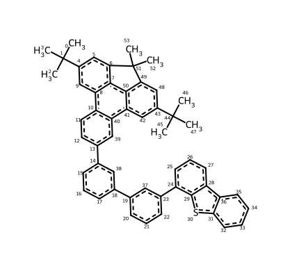 CC(C)(C)c1cc2c3c(c1)c1ccc(-c4cccc(-c5cccc(-c6cccc7c6sc6ccccc67)c5)c4)cc1c1cc(C(C)(C)C)cc(c13)C2(C)C